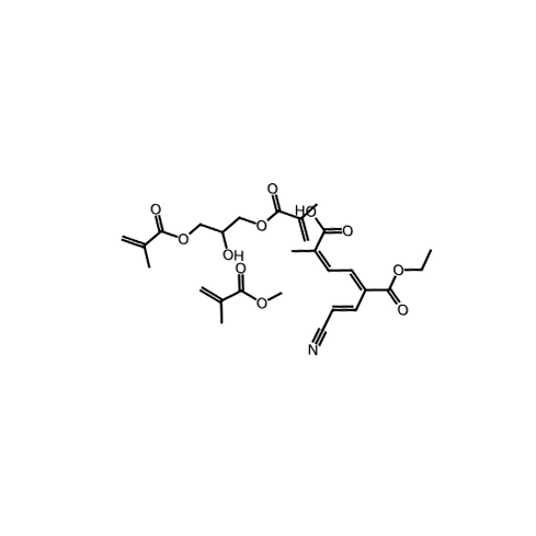 C=C(C)C(=O)OC.C=C(C)C(=O)OCC(O)COC(=O)C(=C)C.CCOC(=O)C(C=CC#N)=CC=C(C)C(=O)O